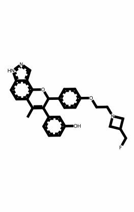 CC1=C(c2cccc(O)c2)C(c2ccc(OCCN3CC(CF)C3)cc2)Oc2c1ccc1[nH]ncc21